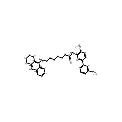 Cc1cccc(-c2ccc(N)c(NC(=O)CCCCCCNc3c4c(nc5ccccc35)CCCC4)c2)c1